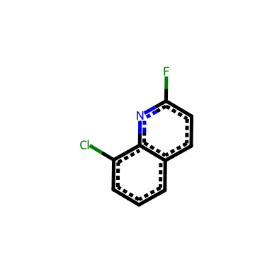 Fc1ccc2cccc(Cl)c2n1